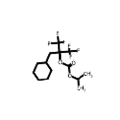 CC(C)OC(=O)OC(CC1CCCCC1)(C(F)(F)F)C(F)(F)F